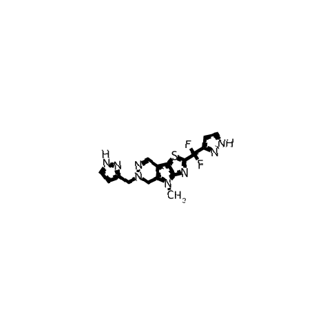 Cn1c2c(c3sc(C(F)(F)c4cc[nH]n4)nc31)C=NN(Cc1cc[nH]n1)C2